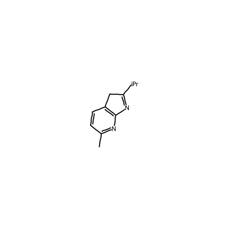 Cc1ccc2c(n1)N=C(C(C)C)C2